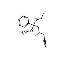 CCOC(CC(C)CC#N)(O[SiH3])c1ccccc1